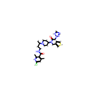 Cc1cc(Cl)nc(C)c1C(=O)NCCC(C)N1CCC(N(Cc2ccsc2)C(=O)Cn2ncnn2)CC1